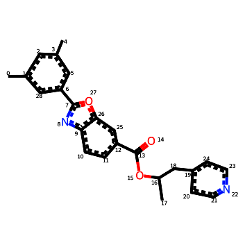 Cc1cc(C)cc(-c2nc3ccc(C(=O)OC(C)Cc4ccncc4)cc3o2)c1